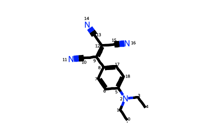 [CH2]CN(CC)c1ccc(C(C#N)=C(C#N)C#N)cc1